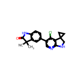 CC1(C#N)C(=O)Nc2ccc(-c3cnc4c(c3Cl)C3(CC3)CN4)cc21